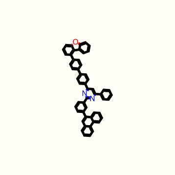 c1ccc(-c2cc(-c3ccc(-c4ccc(-c5cccc6oc7ccccc7c56)cc4)cc3)nc(-c3cccc(-c4cc5ccccc5c5ccccc45)c3)n2)cc1